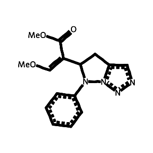 COC=C(C(=O)OC)C1Cc2cnnn2N1c1ccccc1